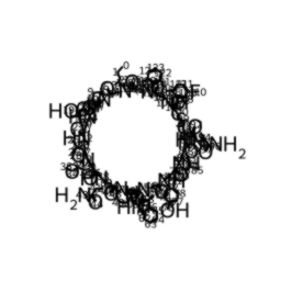 CCCC[C@H]1C(=O)N2CCC[C@@H]2C(=O)N[C@@H](CC(=O)O)C(=O)N[C@@H](C(C)C)C(=O)N(C)[C@@H](CCOC)C(=O)N[C@@H](CCC(N)=O)C(=O)N2CCCC[C@@H]2C(=O)N[C@@H](Cc2c[nH]c3ccccc23)C(=O)N[C@@H](Cc2ccc(O)cc2)C(=O)N[C@@H](CC(C)C)C(=O)N[C@H](C(=O)NCC(N)=O)CSCC(=O)N[C@@H](Cc2ccc(F)cc2)C(=O)N(C)[C@@H](Cc2ccccc2)C(=O)N1C